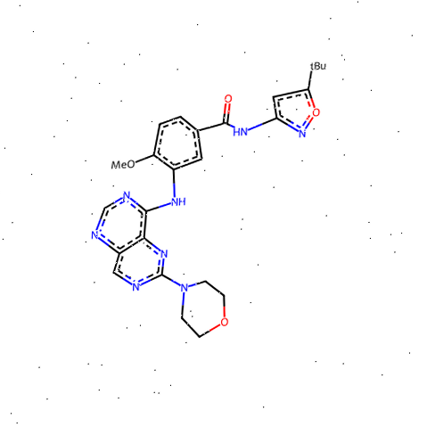 COc1ccc(C(=O)Nc2cc(C(C)(C)C)on2)cc1Nc1ncnc2cnc(N3CCOCC3)nc12